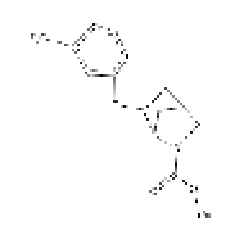 CC(C)(C)OC(=O)N1CC2CC(Oc3cccc(C(F)(F)F)n3)C1C2